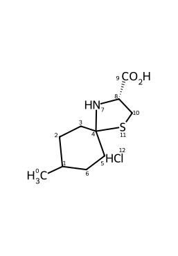 CC1CCC2(CC1)N[C@H](C(=O)O)CS2.Cl